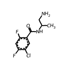 CC(CN)NC(=O)c1cc(Cl)c(F)cc1F